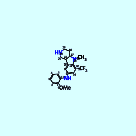 COc1ccccc1Nc1cc2c(c(C(F)(F)F)c1)N(C)C1CCNCC21